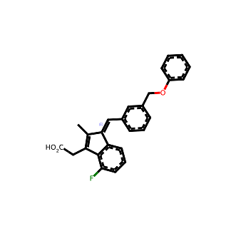 CC1=C(CC(=O)O)c2c(F)cccc2/C1=C\c1cccc(COc2ccccc2)c1